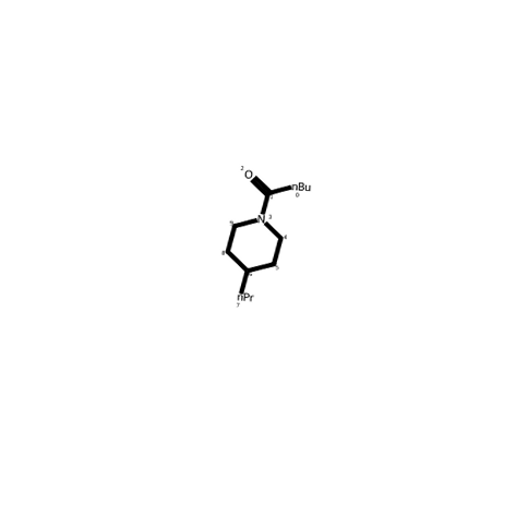 CCCCC(=O)N1CCC(CCC)CC1